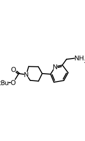 CC(C)(C)OC(=O)N1CCC(c2cccc(CN)n2)CC1